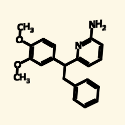 COc1ccc(C(Cc2ccccc2)c2cccc(N)n2)cc1OC